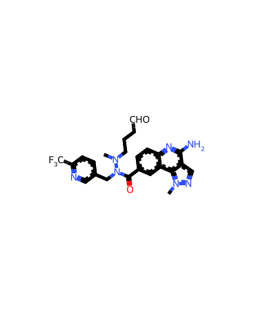 CN(CCCC=O)N(Cc1ccc(C(F)(F)F)nc1)C(=O)c1ccc2nc(N)c3cnn(C)c3c2c1